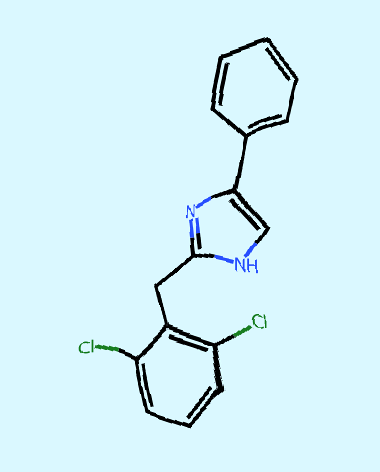 Clc1cccc(Cl)c1Cc1nc(-c2ccccc2)c[nH]1